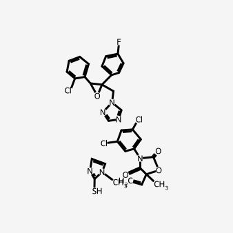 C=CC1(C)OC(=O)N(c2cc(Cl)cc(Cl)c2)C1=O.Cn1ccnc1S.Fc1ccc(C2(Cn3cncn3)OC2c2ccccc2Cl)cc1